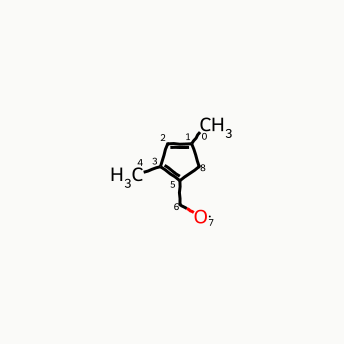 CC1=CC(C)=C(C[O])C1